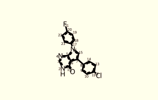 O=c1[nH]cnc2c1c(-c1ccc(Cl)cc1)cn2-c1ccc(F)cc1